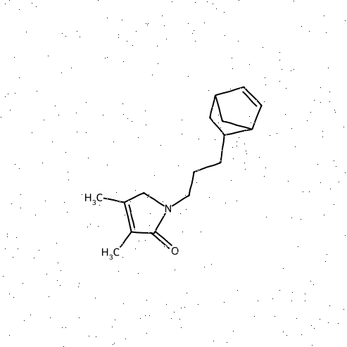 CC1=C(C)C(=O)N(CCCC2CC3C=CC2C3)C1